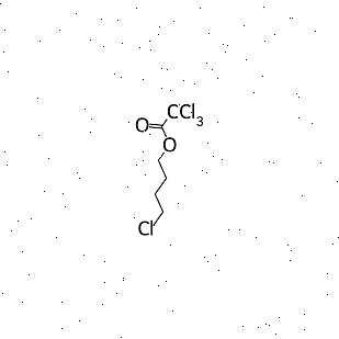 O=C(OCCCCCl)C(Cl)(Cl)Cl